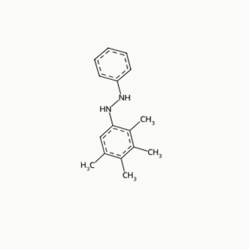 Cc1cc(NNc2ccccc2)c(C)c(C)c1C